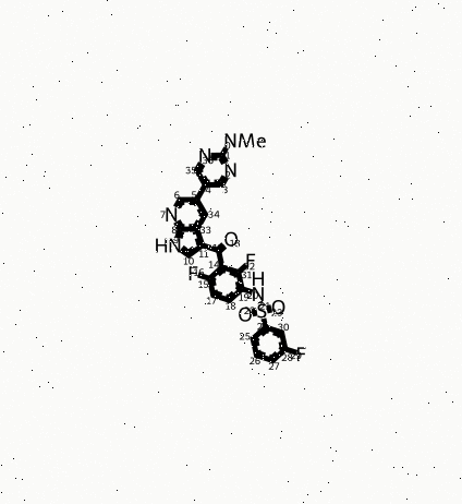 CNc1ncc(-c2cnc3[nH]cc(C(=O)c4c(F)ccc(NS(=O)(=O)c5cccc(F)c5)c4F)c3c2)cn1